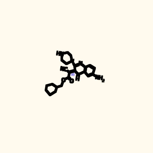 N#C/C(C(=O)OCC1CCCCC1)=C1/Nc2cc(N)ccc2N=C1N1CCNCC1